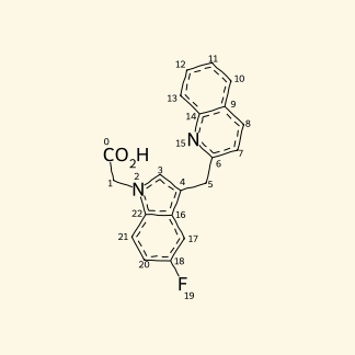 O=C(O)Cn1cc(Cc2ccc3ccccc3n2)c2cc(F)ccc21